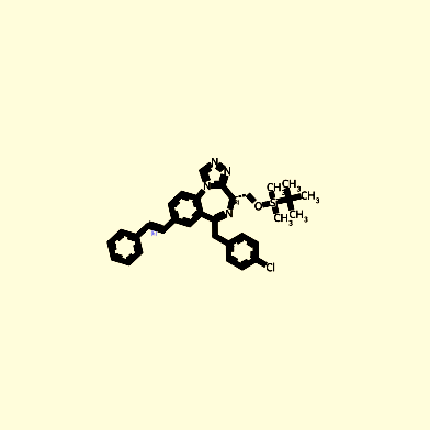 CC(C)(C)[Si](C)(C)OC[C@@H]1N=C(Cc2ccc(Cl)cc2)c2cc(/C=C/c3ccccc3)ccc2-n2cnnc21